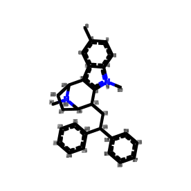 Cc1ccc2c(c1)c1c(n2C)C(CC(c2ccccc2)c2ccccc2)C2CCC1N2C